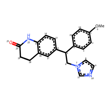 COc1ccc(C(Cn2ccnc2)c2ccc3c(c2)CCC(=O)N3)cc1